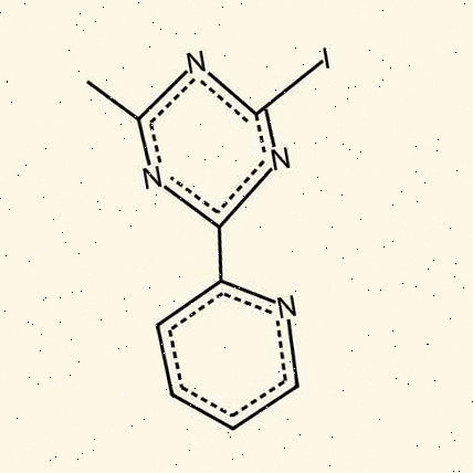 Cc1nc(I)nc(-c2ccccn2)n1